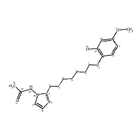 COc1ccc(OCCCCCCCc2nccn2NC(C)=O)c(Cl)c1